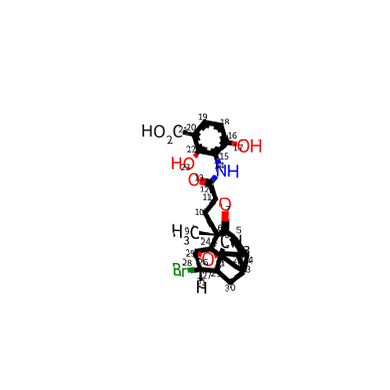 CC12CC34C=CC(=O)[C@@](C)(CCC(=O)Nc5c(O)ccc(C(=O)O)c5O)C3C(O1)[C@@H](Br)C2C4